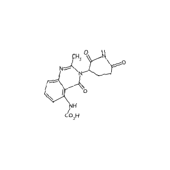 Cc1nc2cccc(NC(=O)O)c2c(=O)n1C1CCC(=O)NC1=O